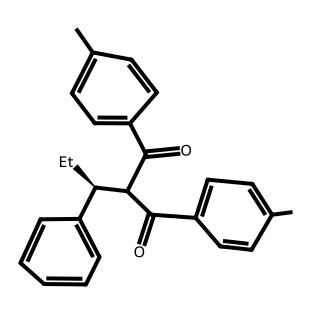 CC[C@H](c1ccccc1)C(C(=O)c1ccc(C)cc1)C(=O)c1ccc(C)cc1